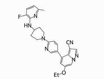 CCOc1cc(-c2ccc(N3CCC(Nc4nc(C)ccc4F)CC3)nc2)c2c(C#N)cnn2c1